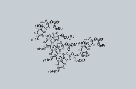 CCCCCCCCOC(=O)OC1CCC(O)(c2ccc(CCCCCCC)cc2)CC1.CCCCCCc1ccc(C2(O)CCC(OC(=O)OC)CC2)cc1.CCCCCCc1ccc(C2(O)CCC(OC(=O)OCC)CC2)cc1.CCCCCCc1ccc(C2(O)CCC(OC(=O)OCCC)CC2)cc1.CCCCCCc1ccc(C2(O)CCC(OC(=O)OCCCC)CC2)cc1